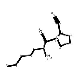 CCCCCC(N)C(=O)N1CCCC1C#N